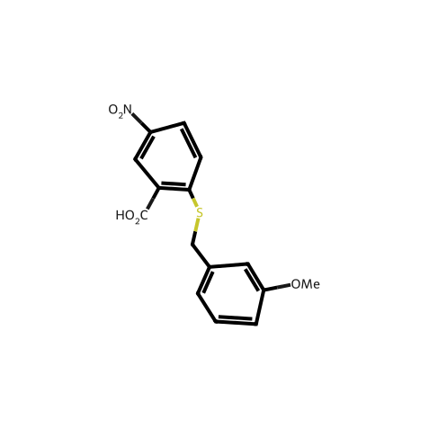 COc1cccc(CSc2ccc([N+](=O)[O-])cc2C(=O)O)c1